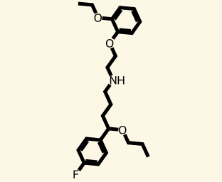 CCCOC(CCCNCCOc1ccccc1OCC)c1ccc(F)cc1